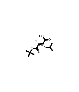 CC(C)C[C@@H](C(=O)O)[C@@H](C)C(=O)OC(C)(C)C